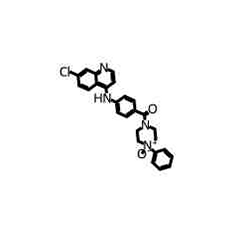 O=C(c1ccc(Nc2ccnc3cc(Cl)ccc23)cc1)N1CC[N+]([O-])(c2ccccc2)CC1